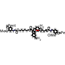 CCCCCOc1ccc(/C=C/C(=O)OCCCCCCOC(=O)C(Cc2ccc(N)cc2)(Cc2ccc(N)cc2)C(=O)OCCCCCCOC(=O)/C=C/c2ccc(OCCCCC)c(OC)c2)cc1OC